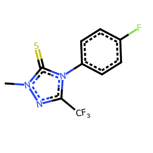 Cn1nc(C(F)(F)F)n(-c2ccc(F)cc2)c1=S